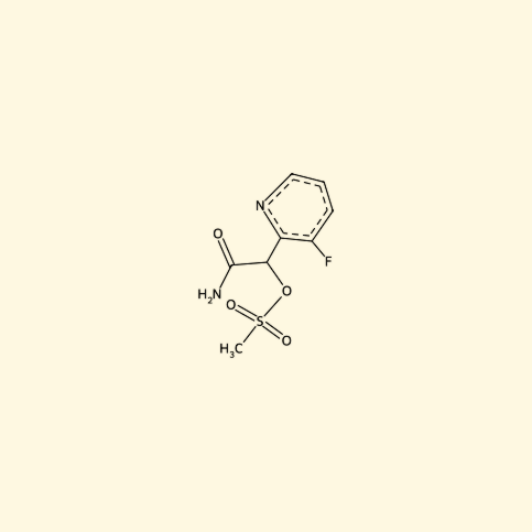 CS(=O)(=O)OC(C(N)=O)c1ncccc1F